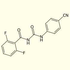 N#Cc1ccc(NC(=O)NC(=O)c2c(F)cccc2F)cc1